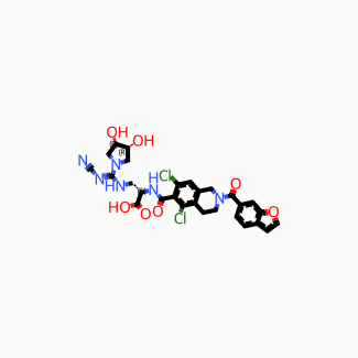 N#C/N=C(/NC[C@H](NC(=O)c1c(Cl)cc2c(c1Cl)CCN(C(=O)c1ccc3ccoc3c1)C2)C(=O)O)N1C[C@@H](O)[C@H](O)C1